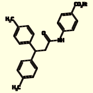 CCOC(=O)c1ccc(NC(=O)CC(c2ccc(C)cc2)c2ccc(C)cc2)cc1